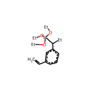 [CH2]CC(c1cccc(C=C)c1)[Si](OCC)(OCC)OCC